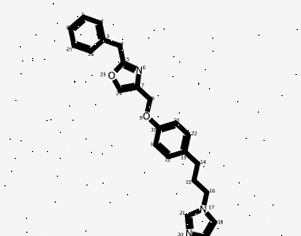 c1ccc(Cc2nc(COc3ccc(CCCn4ccnc4)cc3)co2)cc1